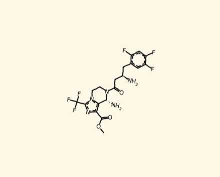 COC(=O)c1nc(C(F)(F)F)n2c1[C@@H](N)N(C(=O)C[C@H](N)Cc1cc(F)c(F)cc1F)CC2